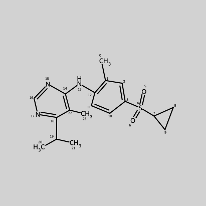 Cc1cc(S(=O)(=O)C2CC2)ccc1Nc1ncnc(C(C)C)c1C